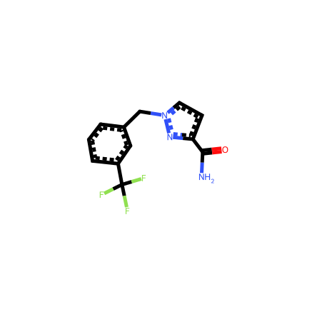 NC(=O)c1ccn(Cc2cccc(C(F)(F)F)c2)n1